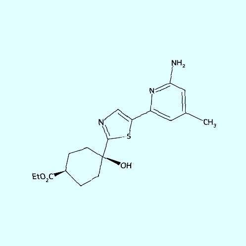 CCOC(=O)[C@H]1CC[C@](O)(c2ncc(-c3cc(C)cc(N)n3)s2)CC1